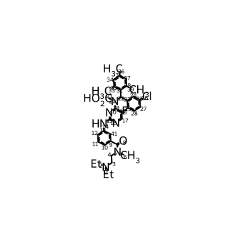 CCN(CC)CCN(C)C(=O)c1cccc(Nc2nccc(N(C(=O)O)C(c3cc(Cl)ccc3F)c3c(C)cc(C)cc3C)n2)c1